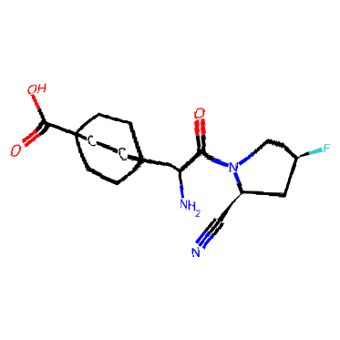 N#C[C@@H]1C[C@H](F)CN1C(=O)C(N)C12CCC(C(=O)O)(CC1)CC2